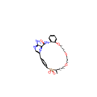 CC1CCOCCOCCOc2ccccc2NC(=O)c2nc(cnc2N)-c2ccc(cc2)S1(=O)=O